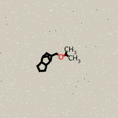 CC(C)OCC1CC2CC1C1CCCC21